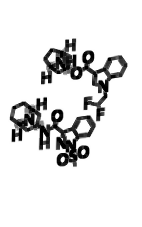 CN1[C@@H]2CCC[C@H]1C[C@H](NC(=O)c1nn(S(C)(=O)=O)c3ccccc13)C2.O=C(O[C@@H]1C[C@H]2CC[C@@H](C1)N2)c1cn(CC(F)F)c2ccccc12